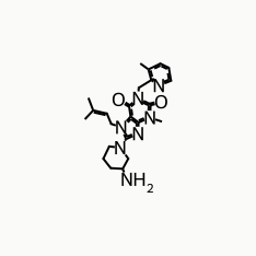 CC(C)=CCn1c(N2CCCC(N)C2)nc2c1c(=O)n(Cc1ncccc1C)c(=O)n2C